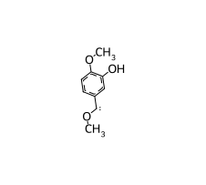 CO[C]c1ccc(OC)c(O)c1